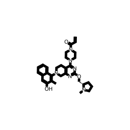 C=CC(=O)N1CCN(c2nc(OC[C@@H]3CCCN3C)nc3c2CCN(c2c(C)c(O)cc4ccccc24)C3)CC1